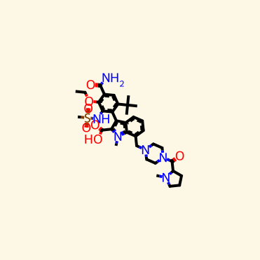 CCOc1c(C(N)=O)cc(C(C)(C)C)c(-c2c(C(=O)O)n(C)c3c(CN4CCN(C(=O)C5CCCN5C)CC4)cccc23)c1NS(C)(=O)=O